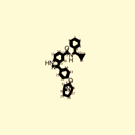 O=C(NC(c1ccccc1)C1CC1)c1ccc2[nH]nc(-c3ccc(OC4CC5CCC(C4)N5)cc3)c2c1